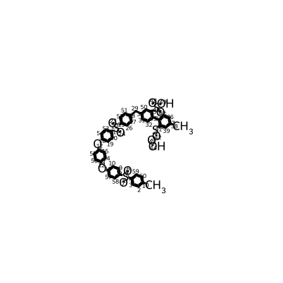 Cc1ccc(S(=O)(=O)c2ccc(Oc3ccc(Oc4ccc(S(=O)(=O)c5ccc(Cc6ccc(-c7ccc(C)cc7SOOO)c(S(=O)(=O)O)c6)cc5)cc4)cc3)cc2)cc1